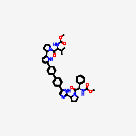 COC(=O)N[C@H](C(=O)N1CCC[C@H]1c1ncc(-c2ccc(-c3ccc(-c4ccc(C5CCCN5C(=O)[C@@H](NC(=O)OC)C(C)C)[nH]4)cc3)cc2)[nH]1)c1ccccc1